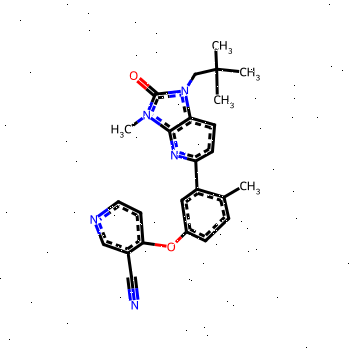 Cc1ccc(Oc2ccncc2C#N)cc1-c1ccc2c(n1)n(C)c(=O)n2CC(C)(C)C